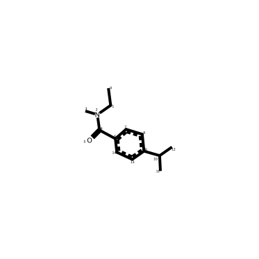 CCN(C)C(=O)c1ccc(C(C)C)cc1